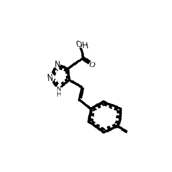 Cc1ccc(C=Cc2[nH]nnc2C(=O)O)cc1